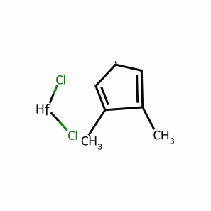 CC1=C[CH]C=C1C.[Cl][Hf][Cl]